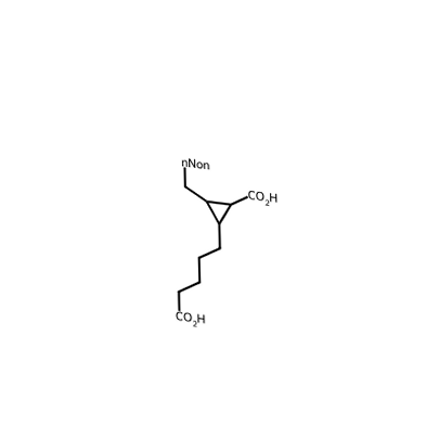 CCCCCCCCCCC1C(CCCCC(=O)O)C1C(=O)O